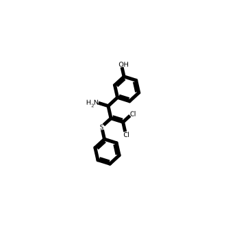 NC(C(Sc1ccccc1)=C(Cl)Cl)c1cccc(O)c1